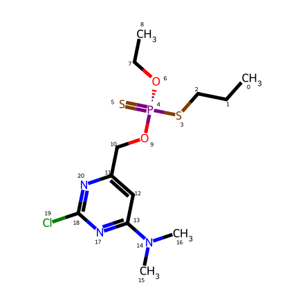 CCCS[P@@](=S)(OCC)OCc1cc(N(C)C)nc(Cl)n1